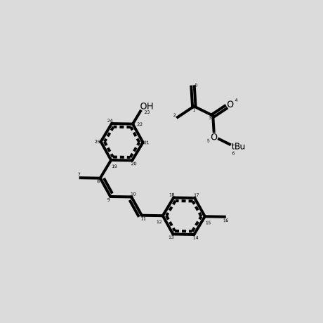 C=C(C)C(=O)OC(C)(C)C.CC(=CC=Cc1ccc(C)cc1)c1ccc(O)cc1